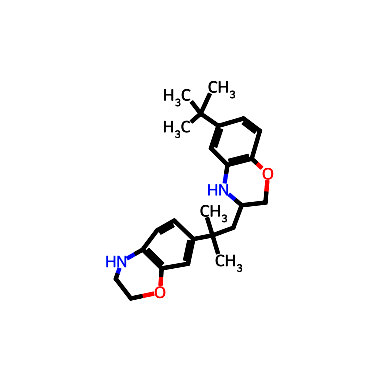 CC(C)(C)c1ccc2c(c1)NC(CC(C)(C)c1ccc3c(c1)OCCN3)CO2